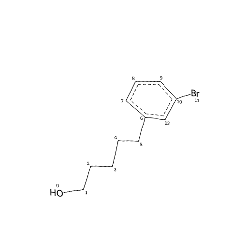 OCCCCCc1cccc(Br)c1